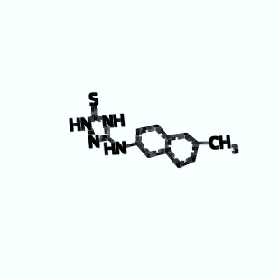 Cc1ccc2cc(Nc3n[nH]c(=S)[nH]3)ccc2c1